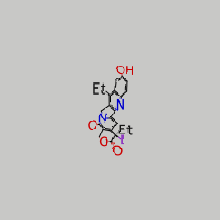 CCc1c2c(nc3ccc(O)cc13)-c1cc3c(c(=O)n1C2)COC(=O)[C@@]3(I)CC